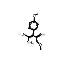 COCC(=N)C(=C(N)N)c1ccc(OC)cc1